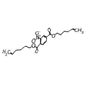 C=CCCCCOC(=O)c1ccc(C(=O)OCCCCC=C)c([N+](=O)[O-])c1